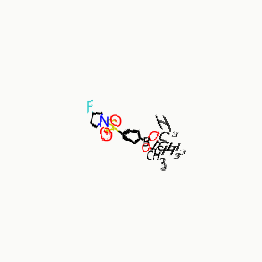 CC1(C)OB(c2ccc(S(=O)(=O)N3CC[C@H](F)C3)cc2)OC1(C)C